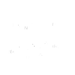 CC(C)Cc1cc(N(C(=O)OC(C)(C)C)C(=O)OC(C)(C)C)c[n+](C)c1.[I-]